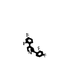 Fc1ccc(-c2ccnc(-c3ccc(F)cc3F)c2)c(F)c1